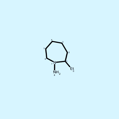 CCC1CCCCCN1N